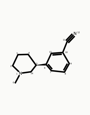 CN1CCC[C@@H](c2cccc(C#N)c2)C1